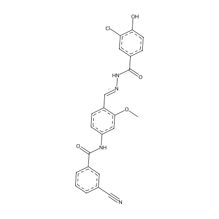 COc1cc(NC(=O)c2cccc(C#N)c2)ccc1/C=N/NC(=O)c1ccc(O)c(Cl)c1